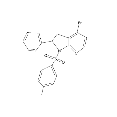 Cc1ccc(S(=O)(=O)N2c3nccc(Br)c3CC2c2ccccc2)cc1